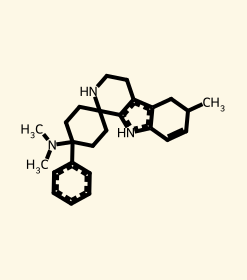 CC1C=Cc2[nH]c3c(c2C1)CCNC31CCC(c2ccccc2)(N(C)C)CC1